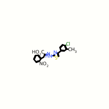 Cc1cc(-c2csc(N/N=C(\Cc3ccccc3[N+](=O)[O-])C(=O)O)n2)ccc1Cl